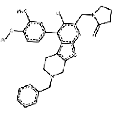 COc1cc(-c2c(Cl)c(CN3CCCC3=O)nc3sc4c(c23)CCN(Cc2ccccc2)C4)ccc1OC(C)C